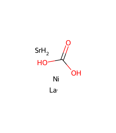 O=C(O)O.[La].[Ni].[SrH2]